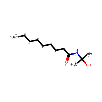 [CH2]C(O)(CCC)NC(=O)CCCCCCCCCCCCCCCCC